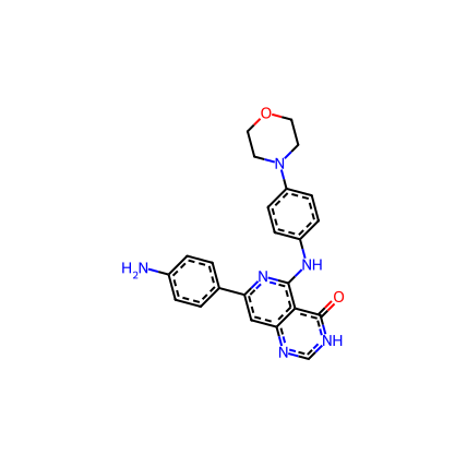 Nc1ccc(-c2cc3nc[nH]c(=O)c3c(Nc3ccc(N4CCOCC4)cc3)n2)cc1